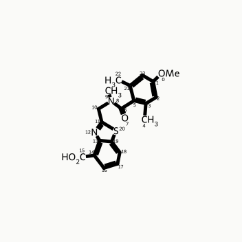 COc1cc(C)c(C(=O)N(C)Cc2nc3c(C(=O)O)cccc3s2)c(C)c1